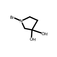 OC1(O)CCN(Br)C1